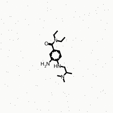 CCN(CC)C(=O)c1ccc(NCC(C)N(C)C)c(N)c1